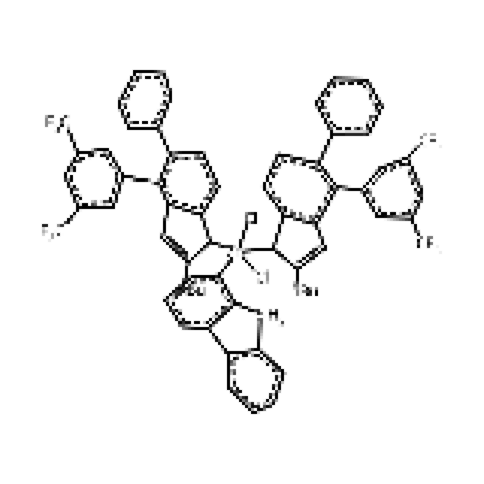 CCCCC1=Cc2c(ccc(-c3ccccc3)c2-c2cc(C(F)(F)F)cc(C(F)(F)F)c2)[CH]1[Zr]([Cl])([Cl])([c]1cccc2c1[SiH2]c1ccccc1-2)[CH]1C(CCCC)=Cc2c1ccc(-c1ccccc1)c2-c1cc(C(F)(F)F)cc(C(F)(F)F)c1